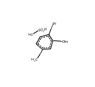 Cc1ccc(C(C)C)c(O)c1.O=S(=O)(O)O